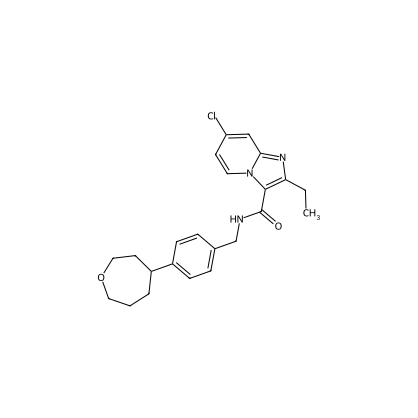 CCc1nc2cc(Cl)ccn2c1C(=O)NCc1ccc(C2CCCOCC2)cc1